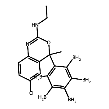 Bc1c(B)c(B)c(C2(C)OC(NCC)=Nc3ccc(Cl)cc32)c(B)c1B